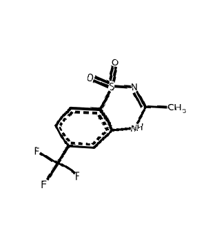 CC1=NS(=O)(=O)c2ccc(C(F)(F)F)cc2N1